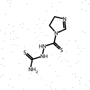 NC(=S)NNC(=S)N1C=NCC1